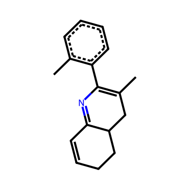 CC1=C(c2ccccc2C)N=C2C=CCCC2C1